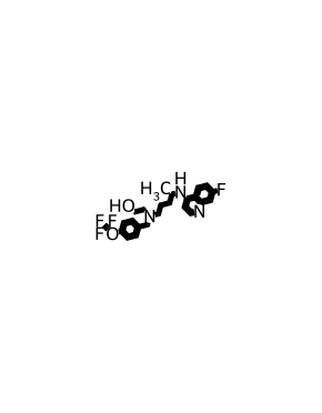 CC(CCCN(CCO)Cc1ccc(OC(F)(F)F)cc1)Nc1ccnc2cc(F)ccc12